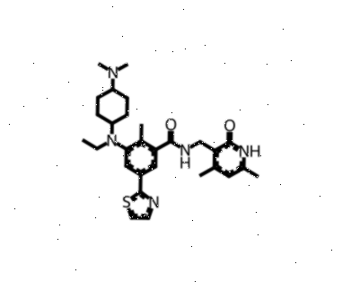 CCN(c1cc(-c2nccs2)cc(C(=O)NCc2c(C)cc(C)[nH]c2=O)c1C)C1CCC(N(C)C)CC1